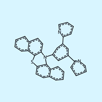 c1ccc(-c2cc(-c3ccccn3)cc(N3c4ccc5ccccc5c4Sc4ccc5ccccc5c43)c2)nc1